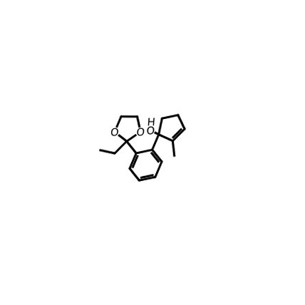 CCC1(c2ccccc2C2(O)CCC=C2C)OCCO1